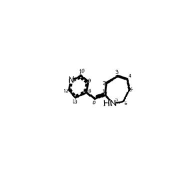 C(=C1CCCCCN1)c1ccncc1